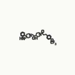 O=C(CCc1ccc(OC(F)(F)F)cc1)N1CCC(C(O)CN2CCC3(CC2)CNc2ccccc23)CC1